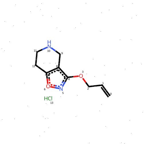 C=CCOc1noc2c1CNCC2.Cl